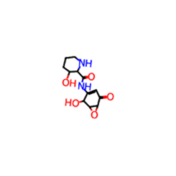 O=C(NC1=CC(=O)C2OC2C1O)C1NCCCC1O